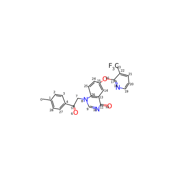 Cc1ccc(C(=O)Cn2cnc(=O)c3cc(Oc4ncccc4C(F)(F)F)ccc32)cc1